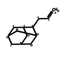 C=CCC1[C]2CC3CC(C2)CC1C3